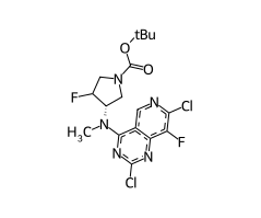 CN(c1nc(Cl)nc2c(F)c(Cl)ncc12)[C@H]1CN(C(=O)OC(C)(C)C)CC1F